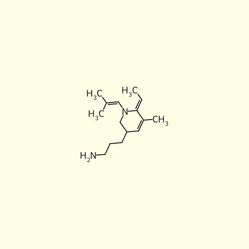 C/C=C1/C(C)=CC(CCCN)CN1C=C(C)C